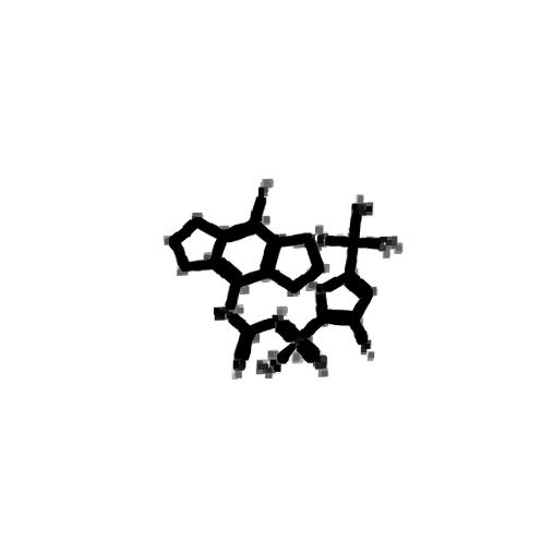 CC(C)(O)c1cc(F)c([S@](N)(=O)=NC(=O)Nc2c3c(c(F)c4c2CCC4)CCC3)s1